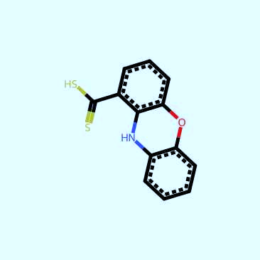 S=C(S)c1cccc2c1Nc1ccccc1O2